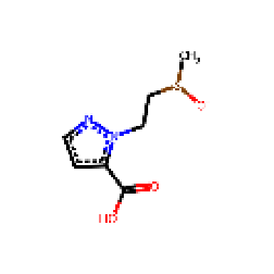 C[S+]([O-])CCn1nccc1C(=O)O